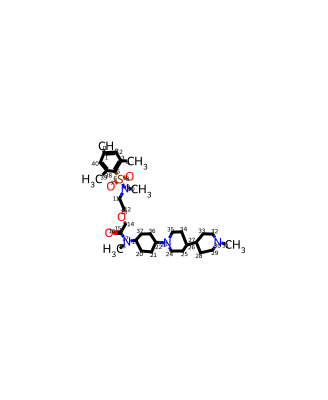 Cc1cc(C)c(S(=O)(=O)N(C)CCOCC(=O)N(C)C2CCC(N3CCC(C4CCN(C)CC4)CC3)CC2)c(C)c1